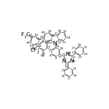 Fc1ccccc1-c1ccc(-c2nc(-c3ccccc3)nc(-c3ccccc3)n2)cc1-n1c2ccccc2c2ccc(-c3cc(C(F)(F)F)cc(C(F)(F)F)c3)cc21